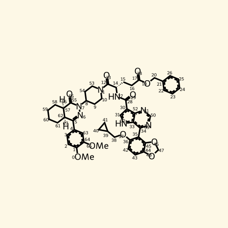 COc1ccc(C2=NN(C3CCN(C(=O)[C@H](CCC(=O)OCc4ccccc4)NC(=O)c4c[nH]c5c(-c6c(OCC7CC7)ccc7c6OCO7)ncnc45)CC3)C(=O)[C@@H]3CCCC[C@H]23)cc1OC